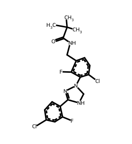 CC(C)(C)C(=O)NCc1ccc(Cl)c(N2CNC(c3ccc(Cl)cc3F)=N2)c1F